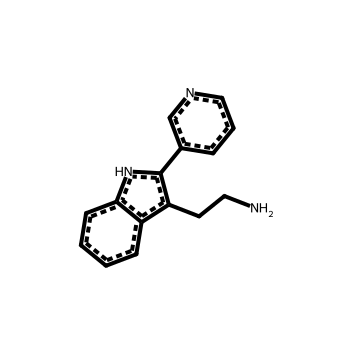 NCCc1c(-c2cccnc2)[nH]c2ccccc12